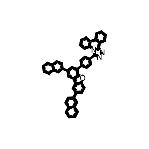 c1ccc2cc(-c3ccc4oc5c(-c6ccc(-c7nnc8c9ccccc9c9ccccc9n78)cc6)cc(-c6ccc7ccccc7c6)cc5c4c3)ccc2c1